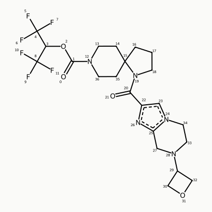 O=C(OC(C(F)(F)F)C(F)(F)F)N1CCC2(CCCN2C(=O)c2cn3c(n2)CN(C2COC2)CC3)CC1